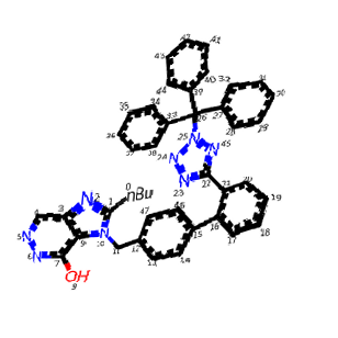 CCCCc1nc2cnnc(O)c2n1Cc1ccc(-c2ccccc2-c2nnn(C(c3ccccc3)(c3ccccc3)c3ccccc3)n2)cc1